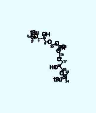 CC(C)(C)[Si](C)(C)OCC(O)COCO[PH](=O)OCOCC(O)CO[Si](C)(C)C(C)(C)C